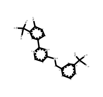 Fc1ccc(-c2nccc(OCc3cccc(C(F)(F)F)c3)n2)cc1C(F)(F)F